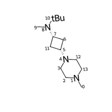 CN1CCN([C@H]2C[C@@H](N(C)C(C)(C)C)C2)CC1